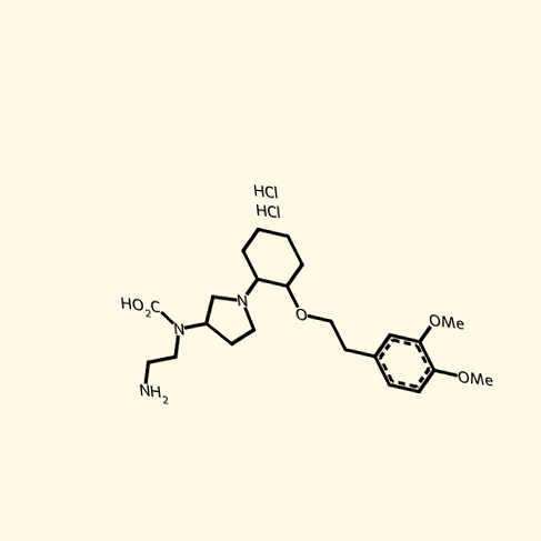 COc1ccc(CCOC2CCCCC2N2CCC(N(CCN)C(=O)O)C2)cc1OC.Cl.Cl